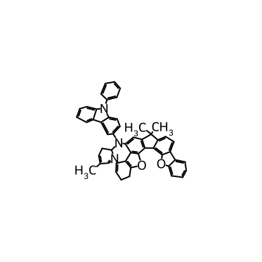 CC1=CCC(N(c2ccc3c(c2)c2ccccc2n3-c2ccccc2)c2cc3c(c4oc5c(c24)C=CCC5)-c2c(ccc4c2oc2ccccc24)C3(C)C)N=C1